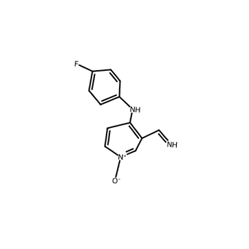 N=Cc1c[n+]([O-])ccc1Nc1ccc(F)cc1